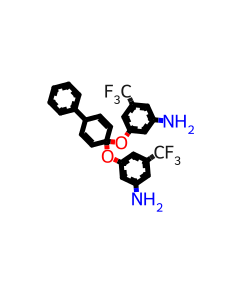 Nc1cc(OC2(Oc3cc(N)cc(C(F)(F)F)c3)C=CC(c3ccccc3)C=C2)cc(C(F)(F)F)c1